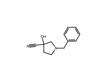 N#CC1(O)CCN(Cc2ccccc2)C1